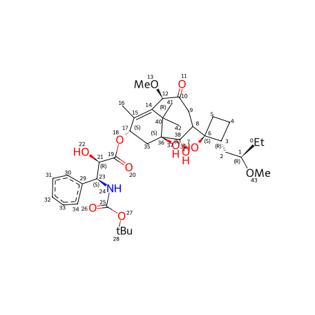 CC[C@H](C[C@H]1CC[C@@]1(O)C1CC(=O)[C@H](OC)C2=C(C)[C@@H](OC(=O)[C@H](O)[C@@H](NC(=O)OC(C)(C)C)c3ccccc3)C[C@@](O)([C@H]1O)C2(C)C)OC